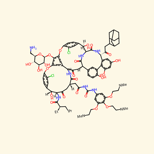 CC[C@H](CC(C)C)C(=O)N[C@H]1C(=O)C[C@@H](CC(=O)NC(=O)Nc2cc(OCCNC)c(OCCNC)c(OCCNC)c2)C(=O)N[C@H]2C(=O)C[C@H]3C(=O)N[C@H](C(=O)N[C@H](C(=O)CC4C5CC6CC(C5)CC4C6)c4cc(O)cc(O)c4-c4cc3ccc4O)[C@H](O)c3ccc(c(Cl)c3)Oc3cc2cc(c3O[C@@H]2O[C@H](CN)[C@@H](O)[C@H](O)[C@H]2O)Oc2ccc(cc2Cl)[C@H]1O